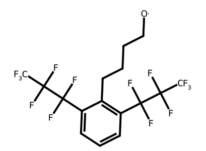 [O]CCCCc1c(C(F)(F)C(F)(F)C(F)(F)F)cccc1C(F)(F)C(F)(F)C(F)(F)F